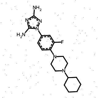 Nc1nc(N)n(-c2ccc(N3CCN(C4CCCCC4)CC3)c(F)c2)n1